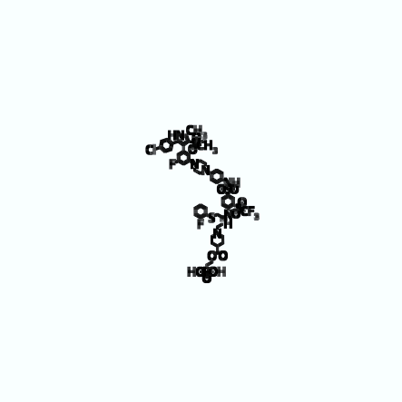 Cc1[nH]c(-c2ccc(Cl)cc2)c(-c2cc(F)cc(N3CCN(c4ccc(NS(=O)(=O)c5ccc(N[C@H](CCN6CCC(C(=O)OCCP(=O)(O)O)CC6)CSc6ccccc6F)c(S(=O)(=O)C(F)(F)F)c5)cc4)CC3)c2)c1S(C)(=O)=O